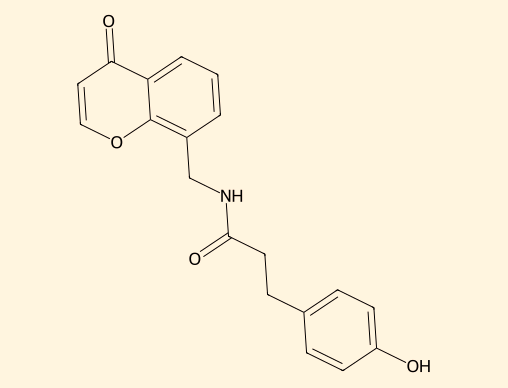 O=C(CCc1ccc(O)cc1)NCc1cccc2c(=O)ccoc12